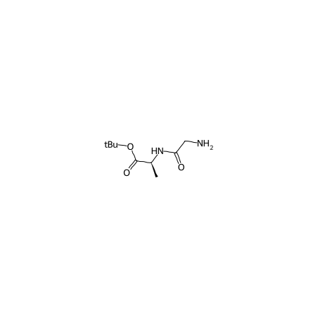 C[C@H](NC(=O)CN)C(=O)OC(C)(C)C